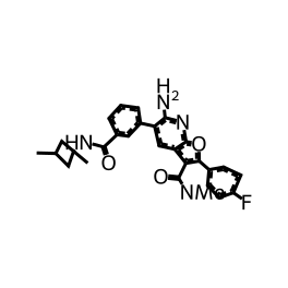 CNC(=O)c1c(-c2ccc(F)cc2)oc2nc(N)c(-c3cccc(C(=O)NC4(C)CC(C)C4)c3)cc12